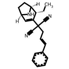 CC[C@@H]1C(C(C#N)(C#N)C/C=C/c2ccccc2)=C[C@H]2CC[C@@H]1N2